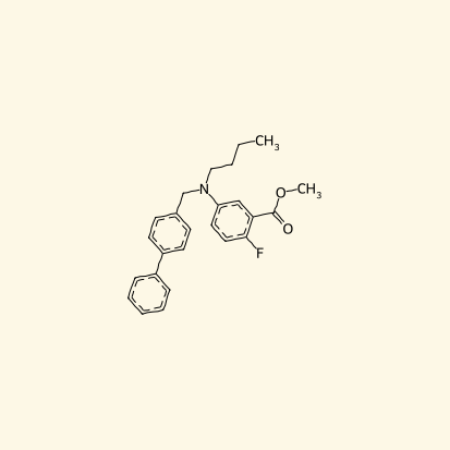 CCCCN(Cc1ccc(-c2ccccc2)cc1)c1ccc(F)c(C(=O)OC)c1